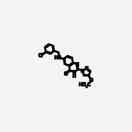 O=C(O)Oc1cnn(-c2nc3ccc(NCc4cccc(Cl)c4)cc3c(=O)[nH]2)c1